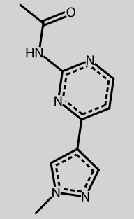 CC(=O)Nc1nccc(-c2cnn(C)c2)n1